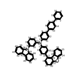 c1ccc(-c2ccc(-c3ccc(N(c4ccc(-c5cccc6oc7ccccc7c56)cc4)c4cccc(-n5c6ccccc6c6ccccc65)c4)cc3)cc2)cc1